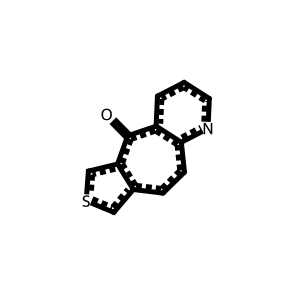 O=c1c2cscc2ccc2ncccc12